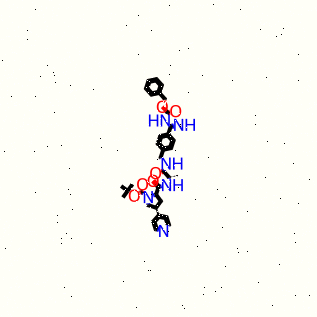 C[C@H](NC(=O)C1C[C@@H](c2ccncc2)CN1C(=O)OC(C)(C)C)C(=O)NCc1ccc(C(=N)NC(=O)OCc2ccccc2)cc1